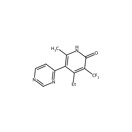 CCc1c(-c2ccncn2)c(C)[nH]c(=O)c1C(F)(F)F